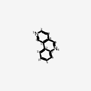 [c]1nccc2cnc3ccccc3c12